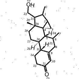 CC1C2C[C@@]23[C@@H]2C(C)CC4=CC(=O)CC[C@@H]4[C@H]2CC[C@]3(C)C1CO